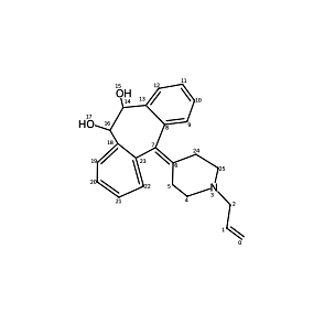 C=CCN1CCC(=C2c3ccccc3C(O)C(O)c3ccccc32)CC1